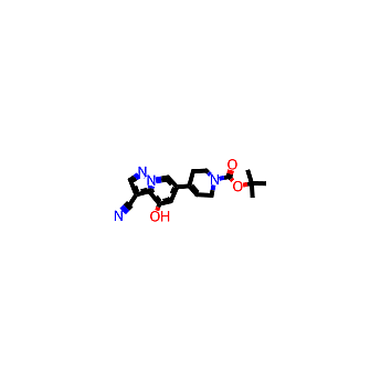 CC(C)(C)OC(=O)N1CC=C(c2cc(O)c3c(C#N)cnn3c2)CC1